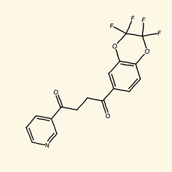 O=C(CCC(=O)c1ccc2c(c1)OC(F)(F)C(F)(F)O2)c1cccnc1